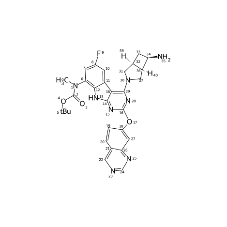 CN(C(=O)OC(C)(C)C)c1cc(F)cc2c1[nH]c1nc(Oc3ccc4cncnc4c3)nc(N3C[C@H]4C[C@@H](N)[C@H]4C3)c12